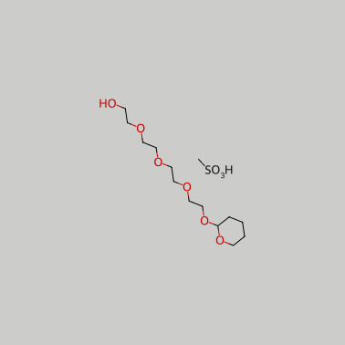 CS(=O)(=O)O.OCCOCCOCCOCCOC1CCCCO1